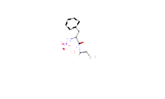 CC(C)CC(NC(=O)C(Cc1ccccc1)NP(=O)(O)O)C(=O)O